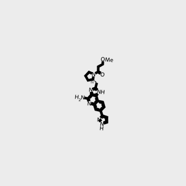 COCCC(=O)N1CCC[C@H]1Cc1nc2c(N)nc3cc(-c4cc[nH]n4)ccc3c2[nH]1